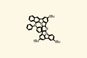 CC(C)(C)c1ccc2c(c1)c1cc(C(C)(C)C)cc3c4cc5c(nc4n2c13)c1cc(C(C)(C)C)cc2c3cc4ccccc4c(N(c4ccccc4)c4ccccc4)c3n5c21